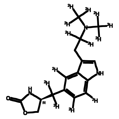 [2H]c1c(C([2H])([2H])[C@H]2COC(=O)N2)c([2H])c2c(CC([2H])([2H])N(C([2H])([2H])[2H])C([2H])([2H])[2H])c[nH]c2c1[2H]